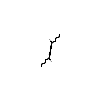 CCCCC(=O)C#CC#CC(=O)CCCC